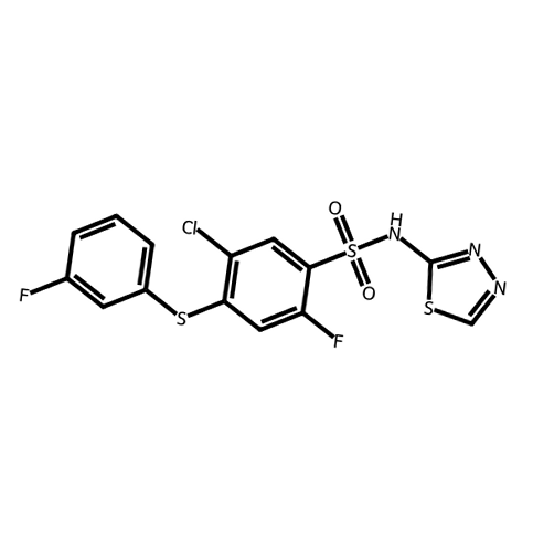 O=S(=O)(Nc1nncs1)c1cc(Cl)c(Sc2cccc(F)c2)cc1F